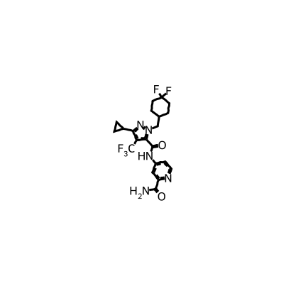 NC(=O)c1cc(NC(=O)c2c(C(F)(F)F)c(C3CC3)nn2CC2CCC(F)(F)CC2)ccn1